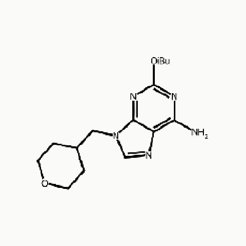 CC(C)COc1nc(N)c2ncn(CC3CCOCC3)c2n1